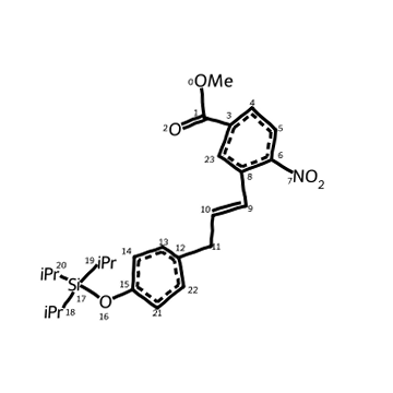 COC(=O)c1ccc([N+](=O)[O-])c(C=CCc2ccc(O[Si](C(C)C)(C(C)C)C(C)C)cc2)c1